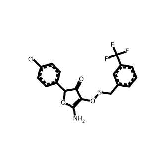 NC1=C(OSCc2cccc(C(F)(F)F)c2)C(=O)C(c2ccc(Cl)cc2)O1